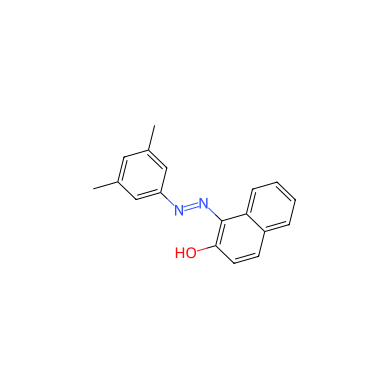 Cc1cc(C)cc(N=Nc2c(O)ccc3ccccc23)c1